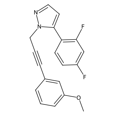 COc1cccc(C#CCn2nccc2-c2ccc(F)cc2F)c1